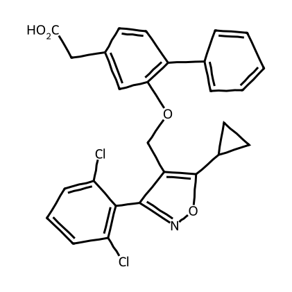 O=C(O)Cc1ccc(-c2ccccc2)c(OCc2c(-c3c(Cl)cccc3Cl)noc2C2CC2)c1